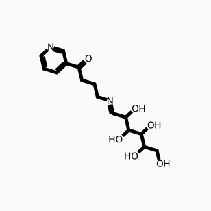 O=C(CCC/N=C/C(O)C(O)C(O)C(O)CO)c1cccnc1